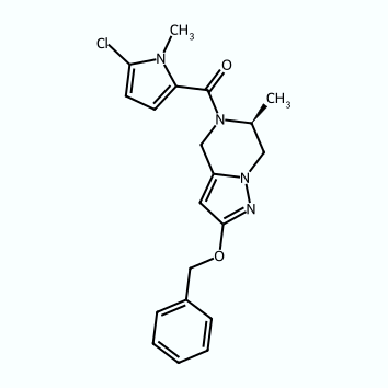 C[C@H]1Cn2nc(OCc3ccccc3)cc2CN1C(=O)c1ccc(Cl)n1C